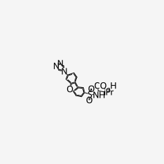 CC(C)C(NS(=O)(=O)c1ccc2oc3cc(-n4cnnc4)ccc3c2c1)C(=O)O